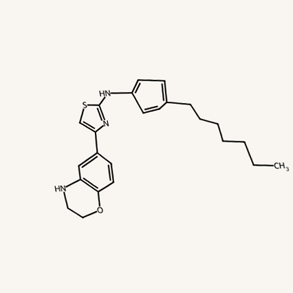 CCCCCCCc1ccc(Nc2nc(-c3ccc4c(c3)NCCO4)cs2)cc1